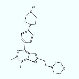 Cc1nc(-c2ccc(N3CCN(C(C)C)CC3)cc2)c2cc(CCN3CCOCC3)[nH]c2c1C